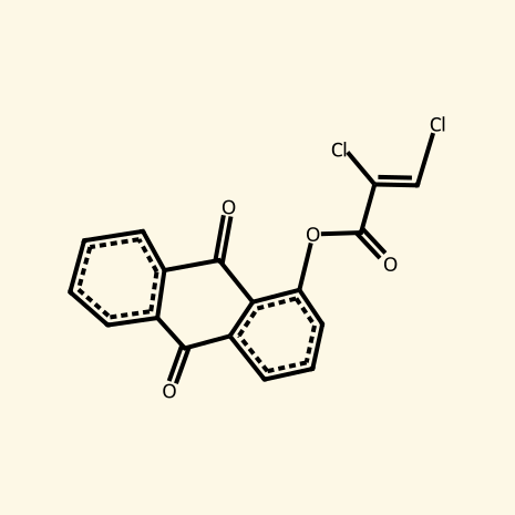 O=C(Oc1cccc2c1C(=O)c1ccccc1C2=O)C(Cl)=CCl